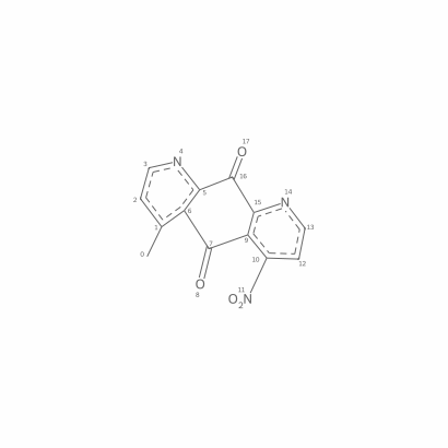 Cc1ccnc2c1C(=O)c1c([N+](=O)[O-])ccnc1C2=O